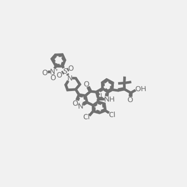 CC(C)(C)/C(=C\c1cccc2c(C(=O)c3c(-c4c(Cl)cc(Cl)cc4Cl)noc3C3CCN(S(=O)(=O)c4ccccc4[N+](=O)[O-])CC3)c[nH]c12)C(=O)O